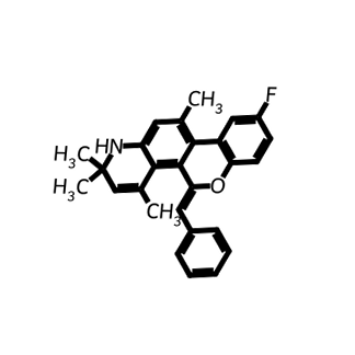 CC1=CC(C)(C)Nc2cc(C)c3c(c21)/C(=C/c1ccccc1)Oc1ccc(F)cc1-3